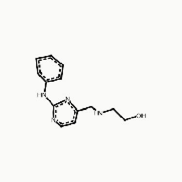 OCCNCc1ccnc(Nc2ccccc2)n1